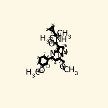 COCc1cc(-c2cccc(OC)c2)nc2c(C(=O)NC(C)(C)C3CC3)cnn12